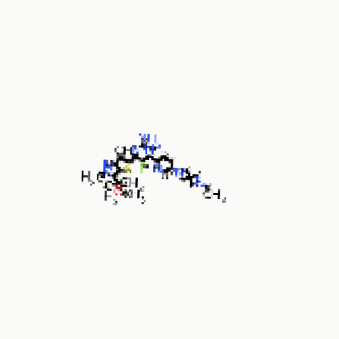 CCN1CC2(C1)CN(c1ccc(-c3nc(N)nc(-c4sc5c(C(C)(C)OC)n(C)nc5c4C)c3F)nc1)C2